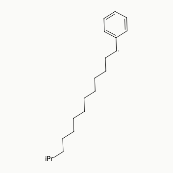 CC(C)CCCCCCCCCC[CH]c1ccccc1